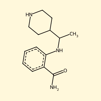 CC(Nc1ccccc1C(N)=O)C1CCNCC1